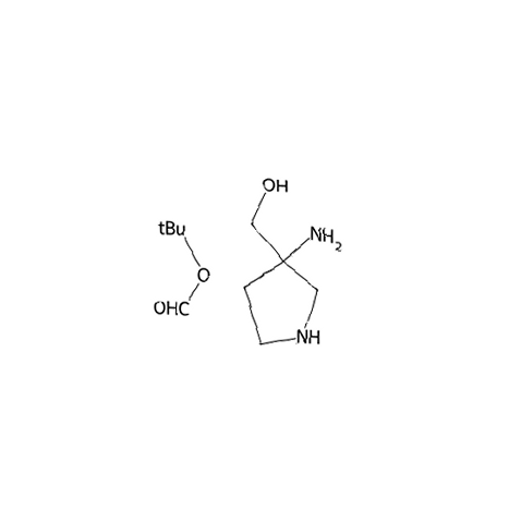 CC(C)(C)OC=O.NC1(CO)CCNC1